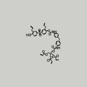 C=CCc1cc(S(=O)(=O)c2ccc(OC(=O)Nc3ccc(Cc4ccc(NC(=O)OCC(COC(=O)C=C)(COC(=O)C=C)COC(=O)C=C)cc4)cc3)c(CC=C)c2)ccc1O